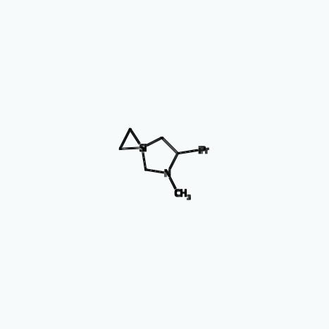 CC(C)C1C[Si]2(CC2)CN1C